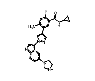 Cc1cc(F)c(C(=O)NC2CC2)cc1-c1cnn(-c2cnc3ccc([C@H]4CCNC4)cn23)c1